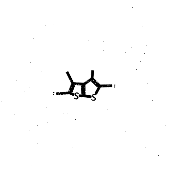 [CH]c1sc2sc([CH])c(C)c2c1C